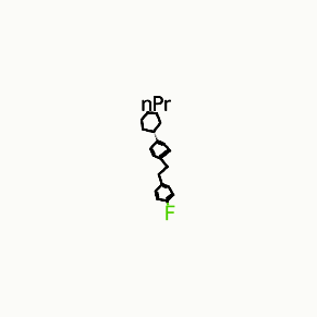 CCC[C@H]1CC[C@H](c2ccc(CCc3ccc(F)cc3)cc2)CC1